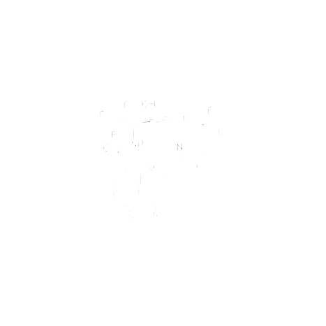 O=C(NC(C(=O)O)C(F)(F)F)c1ccc2ccccc2c1OCc1nc(C(F)(F)F)cs1